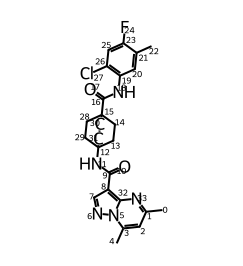 Cc1cc(C)n2ncc(C(=O)NC34CCC(C(=O)Nc5cc(C)c(F)cc5Cl)(CC3)CC4)c2n1